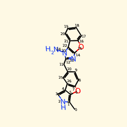 Cc1[nH]cc2c1oc1ccc(Cc3nc4oc5ccccc5c4n3N)cc12